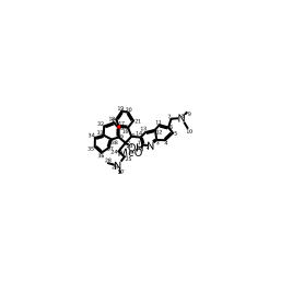 COc1nc2ccc(CN(C)C)cc2cc1C(c1ccccc1)C(O)(CCN(C)C)c1cccc2ccccc12